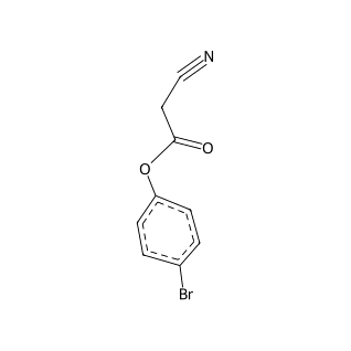 N#CCC(=O)Oc1ccc(Br)cc1